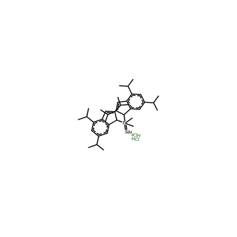 CC(C)C1=Cc2c(C(C)C)cc(C(C)C)cc2[CH]1[Ti]([CH3])([CH3])(=[SiH2])[CH]1C(C(C)C)=Cc2c(C(C)C)cc(C(C)C)cc21.Cl.Cl